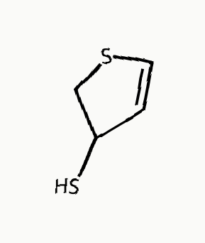 SC1C=CSC1